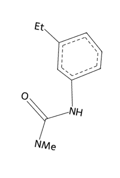 [CH2]Cc1cccc(NC(=O)NC)c1